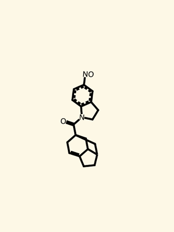 O=Nc1ccc2c(c1)CCN2C(=O)C12CC=C3CCC(C1)C3C2